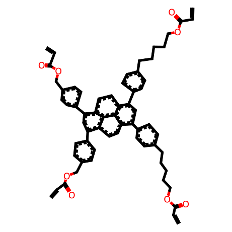 C=CC(=O)OCCCCCc1ccc(-c2cc(-c3ccc(CCCCCOC(=O)C=C)cc3)c3ccc4c(-c5ccc(COC(=O)C=C)cc5)cc(-c5ccc(COC(=O)C=C)cc5)c5ccc2c3c54)cc1